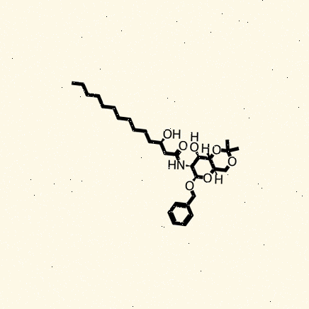 CCCCCCCCCCC[C@@H](O)CC(=O)N[C@H]1[C@H](OCc2ccccc2)O[C@@H]2COC(C)(C)O[C@H]2[C@@H]1O